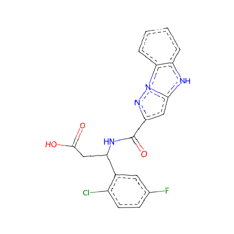 O=C(O)CC(NC(=O)c1cc2[nH]c3ccccc3n2n1)c1cc(F)ccc1Cl